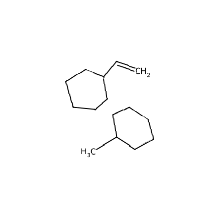 C=CC1CCCCC1.CC1CCCCC1